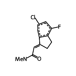 CNC(=O)C=C1CCc2c(F)cc(Cl)cc21